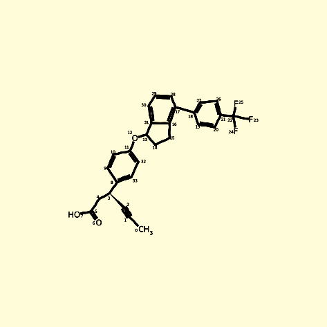 CC#C[C@@H](CC(=O)O)c1ccc(OC2CCc3c(-c4ccc(C(F)(F)F)cc4)cccc32)cc1